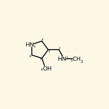 CNCC1CNCC1O